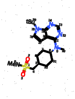 CNS(=O)(=O)C[C@H]1CC[C@H](N(C)c2ncnc3c2ccn3C(C)(C)C)CC1